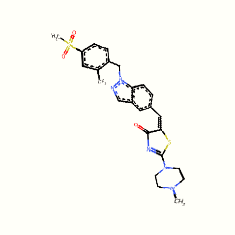 CN1CCN(C2=NC(=O)C(=Cc3ccc4c(cnn4Cc4ccc(S(C)(=O)=O)cc4C(F)(F)F)c3)S2)CC1